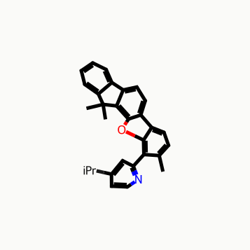 Cc1ccc2c(oc3c4c(ccc32)-c2ccccc2C4(C)C)c1-c1cc(C(C)C)ccn1